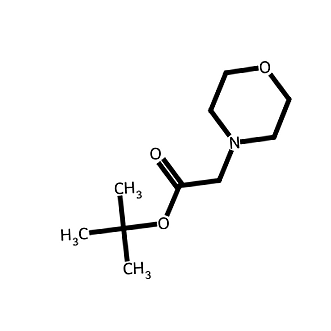 CC(C)(C)OC(=O)CN1CCOCC1